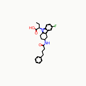 CCC(C(=O)O)n1c2c(c3cc(F)ccc31)CC(NC(=O)CCCc1ccccc1)CC2